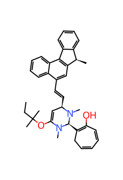 CCC(C)(C)OC1=C[C@@H](C=Cc2cc3c(c4ccccc24)-c2ccccc2[C@H]3C)N(C)[C@@H](C2=C(O)C=CC=CC2)N1C